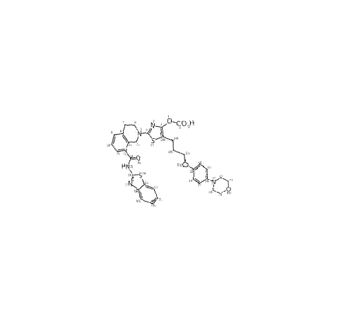 O=C(O)Oc1nc(N2CCc3cccc(C(=O)Nc4nc5ccccc5s4)c3C2)sc1CCCOc1ccc(N2CCOCC2)cc1